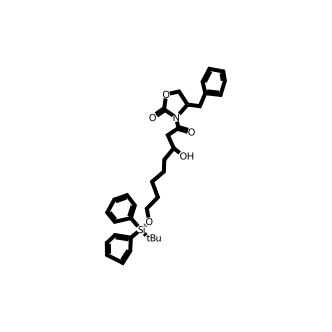 CC(C)(C)[Si](OCCCCCC(O)CC(=O)N1C(=O)OCC1Cc1ccccc1)(c1ccccc1)c1ccccc1